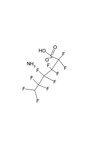 N.O=S(=O)(O)C(F)(F)C(F)(F)C(F)(F)C(F)(F)C(F)F